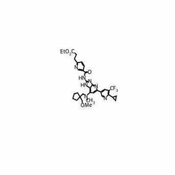 CCOC(=O)CCc1ccc(C(=O)Nc2nc3nc(-c4cnc(C5CC5)c(C(F)(F)F)c4)cc(N(C)CC4(COC)CCCC4)c3[nH]2)cn1